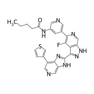 CCCCC(=O)Nc1cncc(-c2ncc3[nH]nc(-c4nc5c(-c6ccsc6)cncc5[nH]4)c3c2F)c1